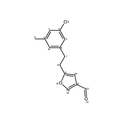 Cc1cc(Cl)cc(CCc2cc(C=O)no2)c1